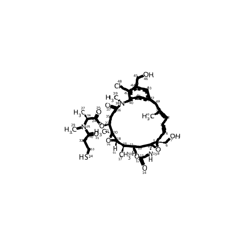 C/C1=C\C=C\[C@]2(CO)O[C@@]23C[C@H](OC(=O)N3)[C@@H](C)[C@@H]2O[C@@]2(C)[C@@H](OC(=O)[C@H](C)N(C)C(=O)CCS)CC(=O)N(C)c2cc(cc(CO)c2Cl)C1